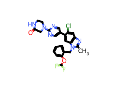 Cc1nc2cc(Cl)c(-c3cnc(N4CCNC(=O)C4)nc3)cc2n1Cc1ccccc1OC(F)F